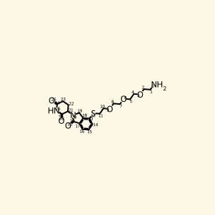 NCCOCCOCCOCCSc1cccc2c1CN(C1CCC(=O)NC1=O)C2=O